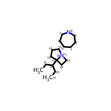 C1CCC[N]CC1.CCC(CC)C12CCC[N+]1CC2